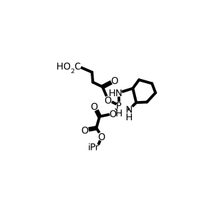 CC(C)OC(=O)C(=O)O[PH]1(OC(=O)CCC(=O)O)NC2CCCCC2N1